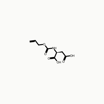 C=CCOC(=O)N[C@@H](CC(=O)O)C(=O)O